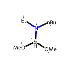 CCCCN(CC)[SiH](OC)OC